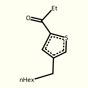 CCCCCCCc1csc(C(=O)CC)c1